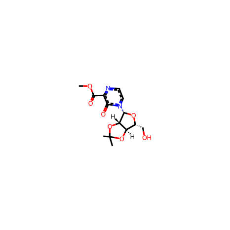 COC(=O)c1nccn([C@@H]2O[C@H](CO)[C@H]3OC(C)(C)O[C@@H]32)c1=O